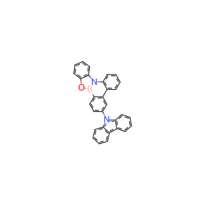 c1ccc2c(c1)OB1c3ccc(-n4c5ccccc5c5ccccc54)cc3-c3ccccc3N12